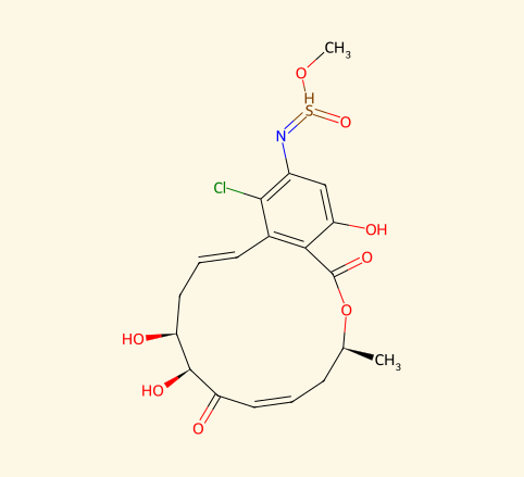 CO[SH](=O)=Nc1cc(O)c2c(c1Cl)/C=C/C[C@H](O)[C@H](O)C(=O)/C=C\C[C@H](C)OC2=O